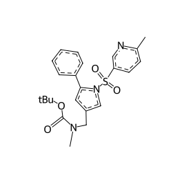 Cc1ccc(S(=O)(=O)n2cc(CN(C)C(=O)OC(C)(C)C)cc2-c2ccccc2)cn1